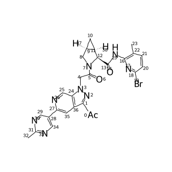 CC(=O)c1nn(CC(=O)N2C[C@H]3C[C@H]3[C@H]2C(=O)Nc2nc(Br)ccc2C)c2cnc(-c3cnc(C)nc3)cc12